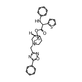 O=C(O[C@H]1C[N+]2(Cc3noc(-c4ccccc4)n3)CCC1CC2)C(Nc1ccccc1)c1cccs1